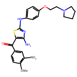 COc1ccc(C(=O)c2sc(Nc3ccc(OCCN4CCCC4)cc3)nc2N)cc1[N+](=O)[O-]